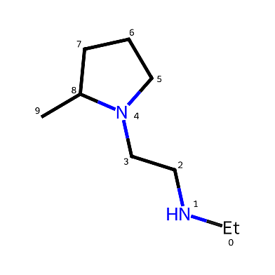 CCNCCN1CCCC1C